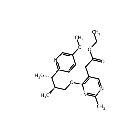 CCOC(=O)Cc1cnc(C)nc1OC[C@@H](C)[C@H](C)c1ccc(OC)cn1